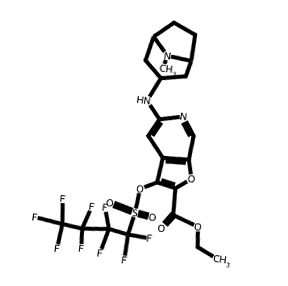 CCOC(=O)c1oc2cnc(NC3CC4CCC(C3)N4C)cc2c1OS(=O)(=O)C(F)(F)C(F)(F)C(F)(F)C(F)(F)F